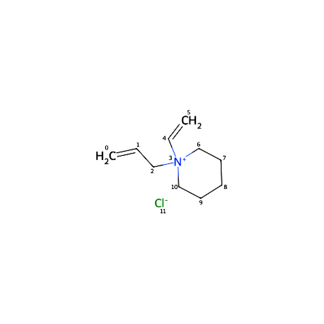 C=CC[N+]1(C=C)CCCCC1.[Cl-]